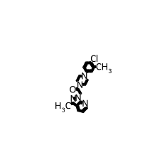 Cc1cc(N2CCN(C(=O)Cn3nc(C)c4cccnc43)CC2)ccc1Cl